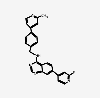 Cc1cc(-c2ccc(CNc3ncnc4cc(-c5ccnc(F)c5)ccc34)cc2)ccn1